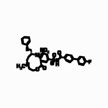 CN1CCOC(=O)c2cc(S(=O)(=O)NC(=O)c3ccc(-c4ccc(F)cc4)cc3)cc([N+](=O)[O-])c2N[C@@H](CSc2ccccc2)CC1